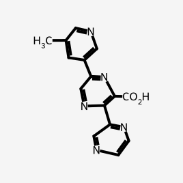 Cc1cncc(-c2cnc(-c3cnccn3)c(C(=O)O)n2)c1